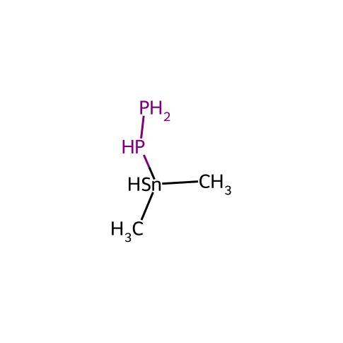 [CH3][SnH]([CH3])[PH]P